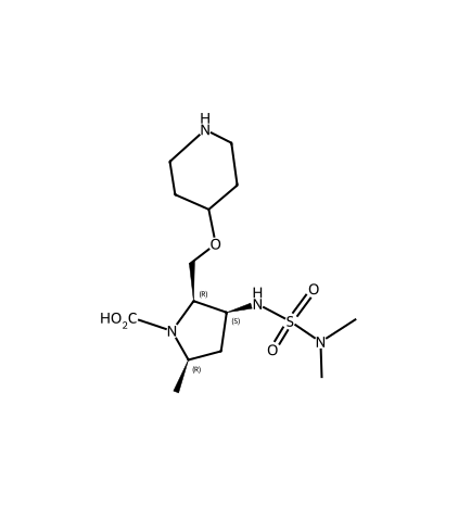 C[C@@H]1C[C@H](NS(=O)(=O)N(C)C)[C@H](COC2CCNCC2)N1C(=O)O